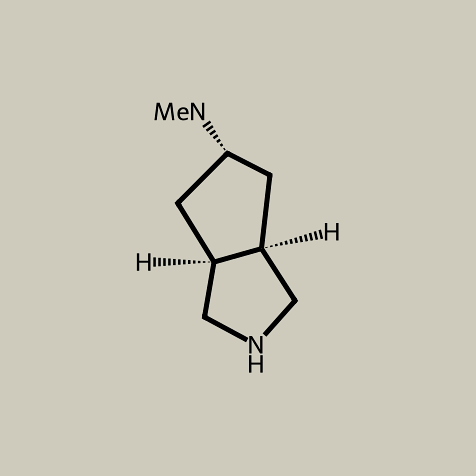 CN[C@@H]1C[C@H]2CNC[C@H]2C1